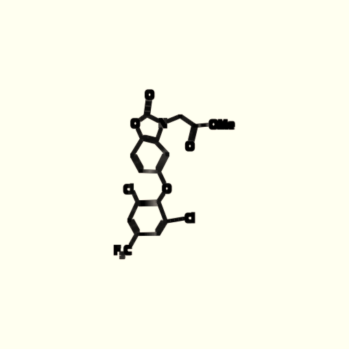 COC(=O)Cn1c(=O)oc2ccc(Oc3c(Cl)cc(C(F)(F)F)cc3Cl)cc21